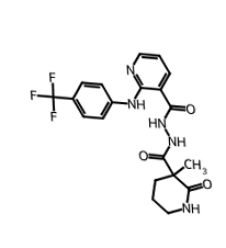 CC1(C(=O)NNC(=O)c2cccnc2Nc2ccc(C(F)(F)F)cc2)CCCNC1=O